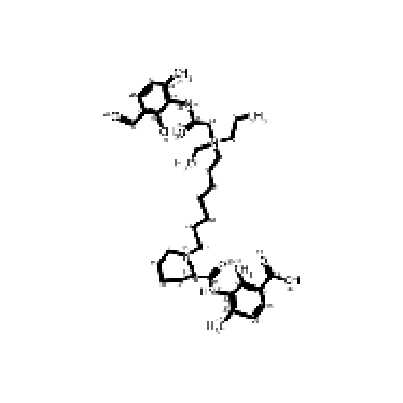 CCC[N+](CC)(CCCCCCCN1CCCC[C@@H]1C(=O)Nc1c(C)ccc(C(=O)O)c1C)CC(=O)Nc1c(C)ccc(C=O)c1C